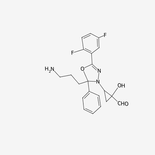 NCCCC1(c2ccccc2)OC(c2cc(F)ccc2F)=NN1C1CC1(O)C=O